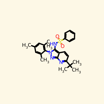 Cc1cc(C)c(-n2nc3nc(C(C)(C)C)ccc3c2NS(=O)(=O)c2ccccc2)c(C)c1